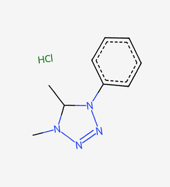 CC1N(C)N=NN1c1ccccc1.Cl